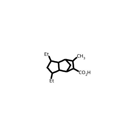 CCC1CC(CC)C2C3CC(C(C)C3C(=O)O)C12